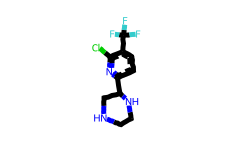 FC(F)(F)c1ccc(C2CNCCN2)nc1Cl